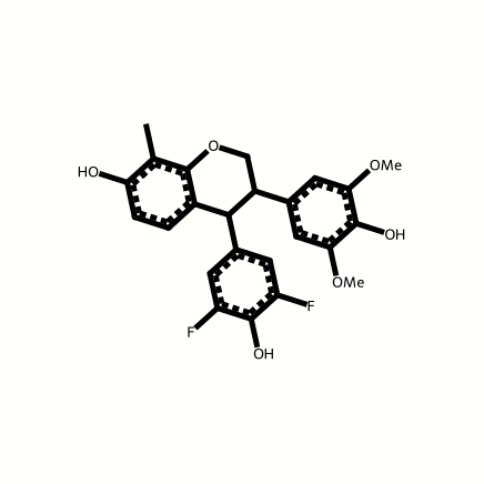 COc1cc(C2COc3c(ccc(O)c3C)C2c2cc(F)c(O)c(F)c2)cc(OC)c1O